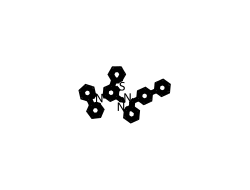 c1ccc(-c2ccc(-c3nc(-c4cc(-n5c6ccccc6c6ccccc65)cc5c4sc4ccccc45)nc4ccccc34)cc2)cc1